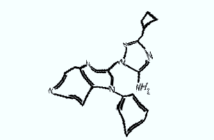 Nc1nc(C2CC2)nn1-c1nc2cnccc2n1-c1ccccc1